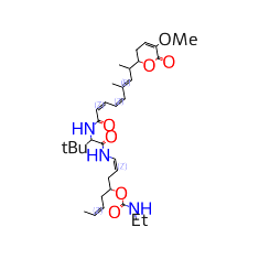 C/C=C\CC(C/C=C\NC(=O)C(NC(=O)\C=C/C=C\C(C)=C\C(C)C1CC=C(OC)C(=O)O1)C(C)(C)C)OC(=O)NCC